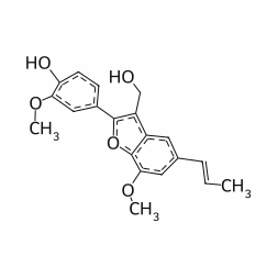 CC=Cc1cc(OC)c2oc(-c3ccc(O)c(OC)c3)c(CO)c2c1